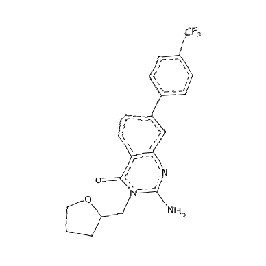 Nc1nc2cc(-c3ccc(C(F)(F)F)cc3)ccc2c(=O)n1CC1CCCO1